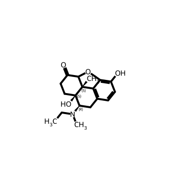 CCN(C)[C@@H]1Cc2ccc(O)c3c2[C@@]2(C)C(O3)C(=O)CC[C@@]12O